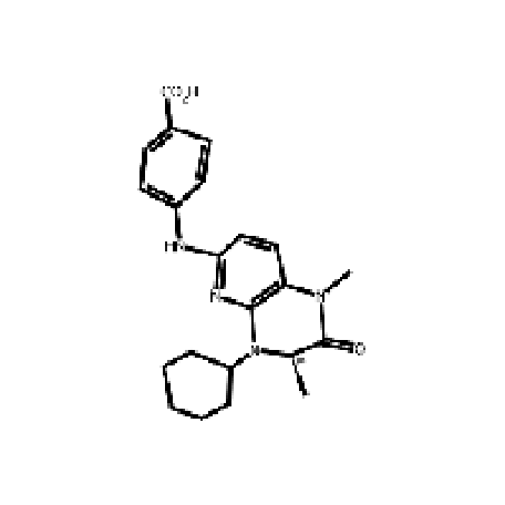 C[C@@H]1C(=O)N(C)c2ccc(Nc3ccc(C(=O)O)cc3)nc2N1C1CCCCC1